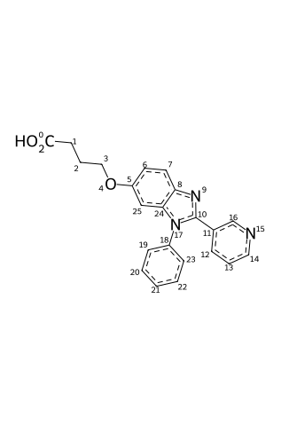 O=C(O)CCCOc1ccc2nc(-c3cccnc3)n(-c3ccccc3)c2c1